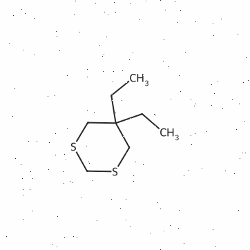 CCC1(CC)CSCSC1